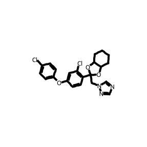 Clc1ccc(Oc2ccc(C3(Cn4cncn4)OC4CCCCC4O3)c(Cl)c2)cc1